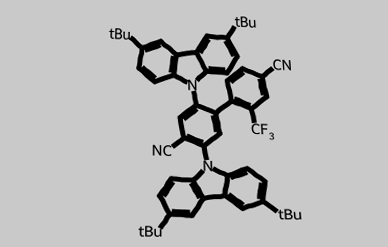 CC(C)(C)c1ccc2c(c1)c1cc(C(C)(C)C)ccc1n2-c1cc(-c2ccc(C#N)cc2C(F)(F)F)c(-n2c3ccc(C(C)(C)C)cc3c3cc(C(C)(C)C)ccc32)cc1C#N